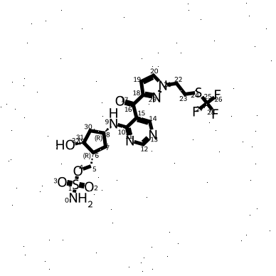 NS(=O)(=O)OC[C@H]1C[C@@H](Nc2ncncc2C(=O)c2ccn(CCSC(F)(F)F)n2)C[C@@H]1O